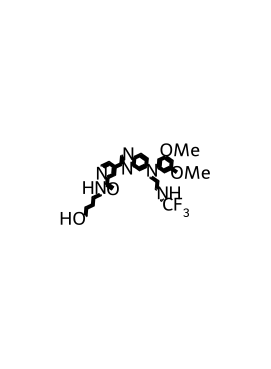 COc1cc(OC)cc(N(CCCNCC(F)(F)F)c2ccc3ncc(-c4ccnc(C(=O)NCCCCCO)c4)nc3c2)c1